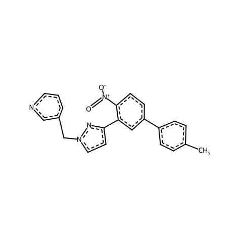 Cc1ccc(-c2ccc([N+](=O)[O-])c(-c3ccn(Cc4cccnc4)n3)c2)cc1